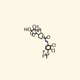 C[C@H](NC(=O)C1CCN(C(=O)/C=C/c2ccc(SC(F)(F)F)c(Cl)c2Cl)CC1)C(=O)O